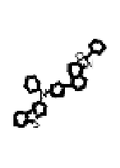 c1ccc(-c2nc3c(ccc4c(-c5ccc(N(c6ccccc6)c6ccc7sc8ccccc8c7c6)cc5)cccc43)o2)cc1